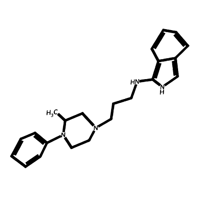 CC1CN(CCCNc2[nH]cc3ccccc23)CCN1c1ccccc1